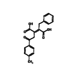 Cc1ccc(C(=O)C/C(C(=O)O)=C(/Cc2ccccc2)C(=O)O)cc1